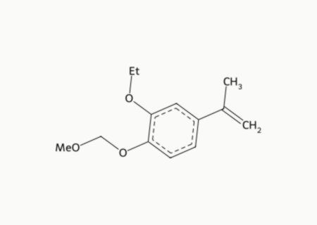 C=C(C)c1ccc(OCOC)c(OCC)c1